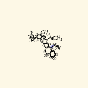 CCCc1nc2c(C)cc(-c3cccs3)cc2n1Cc1ccc2c(c1)CCc1ccccc1/C2=C\C#N